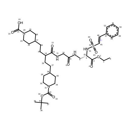 CCOC(=O)[C@H](CNC(=O)CNC(=O)C(CCC1CCN(C(=O)O)CC1)CCC1CCN(C(=O)OC(C)(C)C)CC1)NS(=O)(=O)/C=C/c1ccccc1